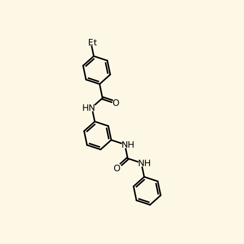 CCc1ccc(C(=O)Nc2cccc(NC(=O)Nc3ccccc3)c2)cc1